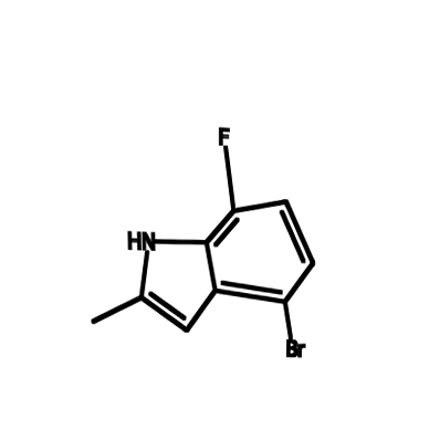 Cc1cc2c(Br)ccc(F)c2[nH]1